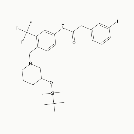 CC(C)(C)[Si](C)(C)OC1CCCN(Cc2ccc(NC(=O)Cc3cccc(I)c3)cc2C(F)(F)F)C1